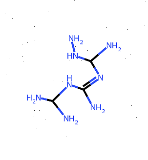 NNC(N)/N=C(/N)NC(N)N